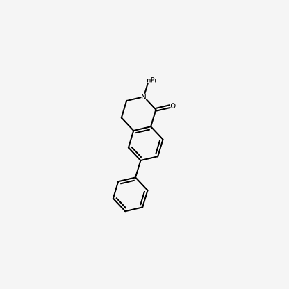 CCCN1CCc2cc(-c3ccccc3)ccc2C1=O